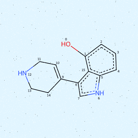 Oc1cccc2[nH]cc(C3=CCNCC3)c12